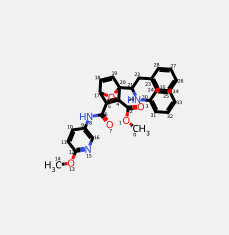 COC(=O)C1=C(C(=O)Nc2ccc(OC)nc2)C2C=CC1(C(Cc1ccccc1)Nc1ccccc1)O2